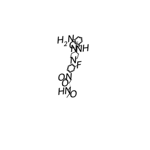 [C-]#[N+]C1(Nc2cccc(N)c2)CCN(c2ccc(N3C[C@H](CNC(C)=O)OC3=O)cc2F)CC1